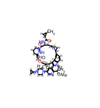 CCn1c(-c2cc(N3CCN(C4CC4)CC3)cnc2[C@H](C)OC)c2c3cc(ccc31)C1CSC(=N1)C[C@H](NC(=O)[C@H]1C[C@@H]1C)C(=O)N1CCC[C@](C=O)(COCC(C)(C)C2)N1